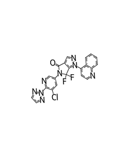 O=C1c2cnn(-c3ccnc4ccccc34)c2C(F)(F)N1c1cnc(-n2nccn2)c(Cl)c1